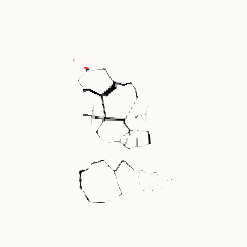 C[C@]12CC[C@@H]3C4=C(CC[C@H]3[C@@H]1CC[C@@H]2C(C(=O)O)C1CCCCCCC1)CC(=O)CC4